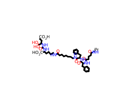 CC(C)NC(=O)CCCC(=O)NC(Cc1ccccc1)C(=O)NC(Cc1ccccc1)C(=O)NCCCCCCCC(=O)NCCCCC(NC(=O)NC(CCC(=O)O)C(O)O)C(=O)O